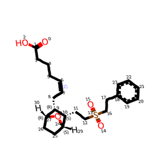 O=C(O)CCC/C=C\C[C@@H]1[C@H](CCS(=O)(=O)CCc2ccccc2)[C@@H]2CC[C@H]1O2